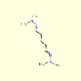 CN(C)N=CCCCC=NN(C)C